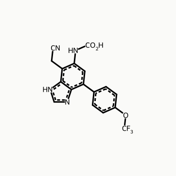 N#CCc1c(NC(=O)O)cc(-c2ccc(OC(F)(F)F)cc2)c2nc[nH]c12